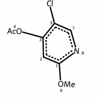 COc1cc(OC(C)=O)c(Cl)cn1